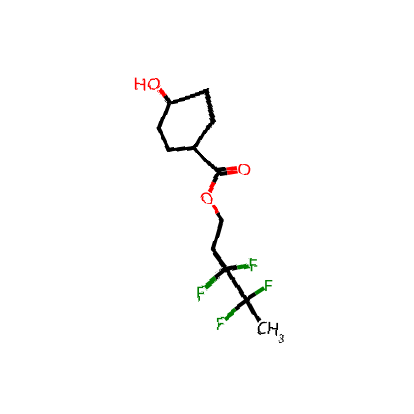 CC(F)(F)C(F)(F)CCOC(=O)C1CCC(O)CC1